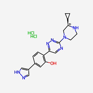 Cl.Cl.Oc1cc(-c2cn[nH]c2)ccc1-c1cnc(N2CCN[C@H](C3CC3)C2)nn1